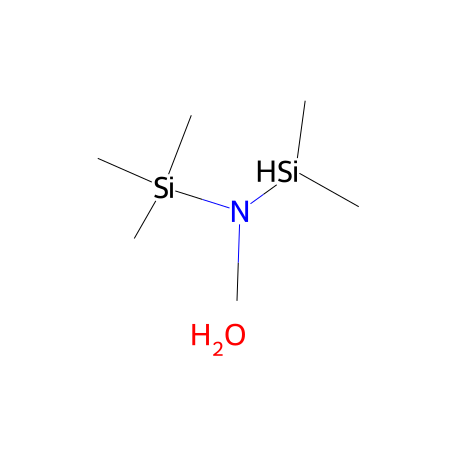 CN([SiH](C)C)[Si](C)(C)C.O